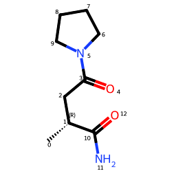 C[C@H](CC(=O)N1CCCC1)C(N)=O